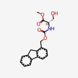 COC(=O)[C@H](CO)NC(=O)OCc1cccc2c1Cc1ccccc1-2